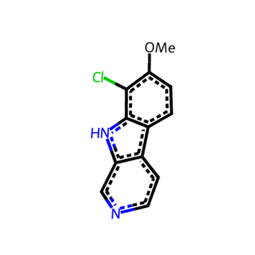 COc1ccc2c([nH]c3cnccc32)c1Cl